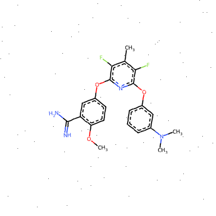 COc1ccc(Oc2nc(Oc3cccc(N(C)C)c3)c(F)c(C)c2F)cc1C(=N)N